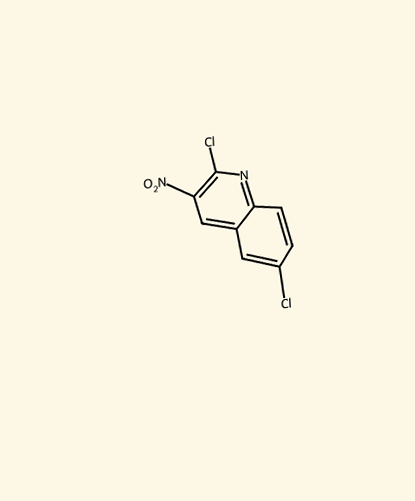 O=[N+]([O-])c1cc2cc(Cl)ccc2nc1Cl